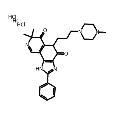 CN1CCN(CCCC2C(=O)c3nc(-c4ccccc4)[nH]c3C3=C2C(=O)C(C)(C)N=C3)CC1.Cl.Cl.Cl